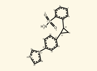 NS(=O)(=O)c1ccccc1C1CC1c1ccc(-n2ccnc2)cc1